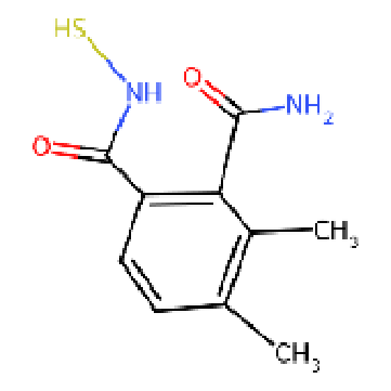 Cc1ccc(C(=O)NS)c(C(N)=O)c1C